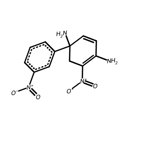 NC1=C([N+](=O)[O-])CC(N)(c2cccc([N+](=O)[O-])c2)C=C1